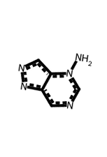 Nn1cncc2nncc1-2